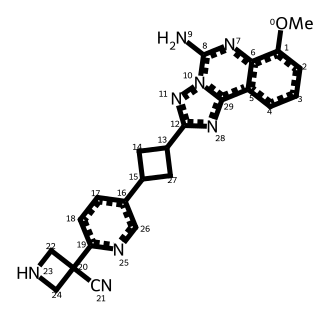 COc1cccc2c1nc(N)n1nc(C3CC(c4ccc(C5(C#N)CNC5)nc4)C3)nc21